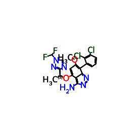 COc1cc(O[C@@H](C)c2ncn(C(F)F)n2)c2c(N)ncnc2c1-c1cccc(Cl)c1Cl